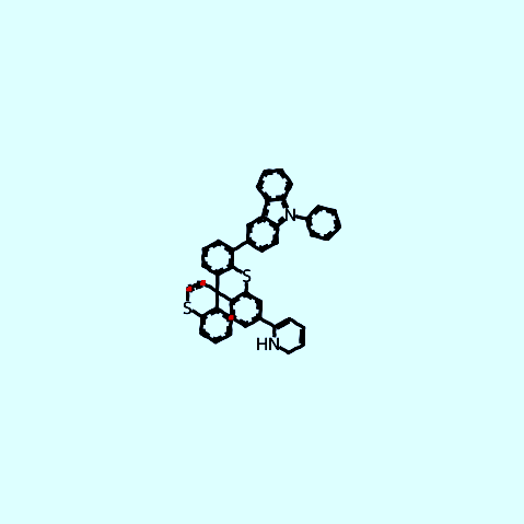 C1=CCNC(c2ccc3c(c2)Sc2c(-c4ccc5c(c4)c4ccccc4n5-c4ccccc4)cccc2C32c3ccccc3Sc3ccccc32)=C1